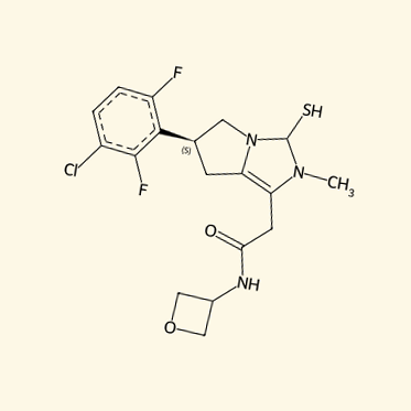 CN1C(CC(=O)NC2COC2)=C2C[C@@H](c3c(F)ccc(Cl)c3F)CN2C1S